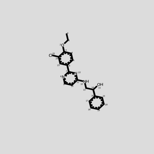 CCOc1ccc(-c2nccc(NCC(O)c3ccccc3)n2)cc1Cl